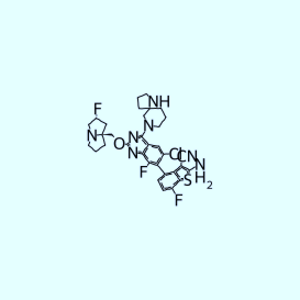 N#Cc1c(N)sc2c(F)ccc(-c3c(Cl)cc4c(N5CCCC6(CCCN6)C5)nc(OC[C@@]56CCCN5C[C@H](F)C6)nc4c3F)c12